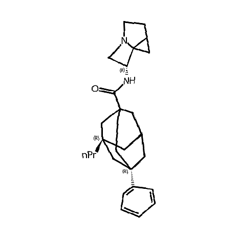 CCC[C@]12CC3CC(C(=O)N[C@@H]4CN5CCC6CC645)(C1)C[C@@](c1ccccc1)(C3)C2